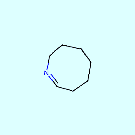 C1=N\CCCCCC/1